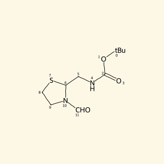 CC(C)(C)OC(=O)NCC1SCCN1C=O